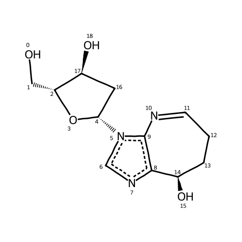 OC[C@H]1O[C@@H](n2cnc3c2N=CCC[C@H]3O)C[C@@H]1O